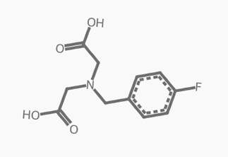 O=C(O)CN(CC(=O)O)Cc1ccc(F)cc1